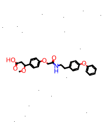 COC(CC(=O)O)c1ccc(OCC(=O)NCCc2ccc(Oc3ccccc3)cc2)cc1